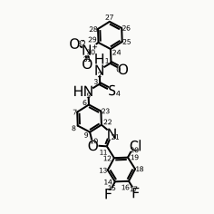 O=C(NC(=S)Nc1ccc2oc(-c3cc(F)c(F)cc3Cl)nc2c1)c1ccccc1[N+](=O)[O-]